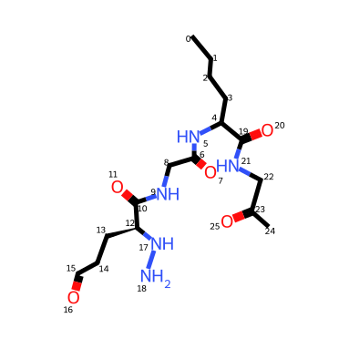 CCCCC(NC(=O)CNC(=O)[C@H](CCC=O)NN)C(=O)NCC(C)=O